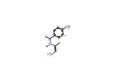 C/C(=C/N)N(C)C(C)c1ccc(C#N)cc1